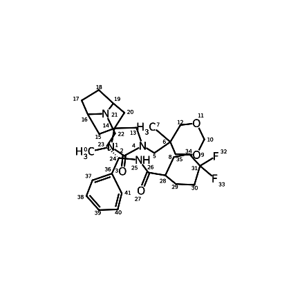 CN1C(=O)N(CC2(C)COCOC2)CC12CC1CCC(C2)N1CC[C@H](NC(=O)C1CCC(F)(F)CC1)c1ccccc1